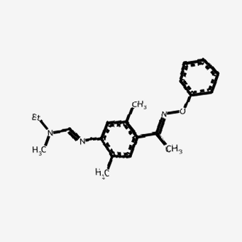 CCN(C)C=Nc1cc(C)c(C(C)=NOc2ccccc2)cc1C